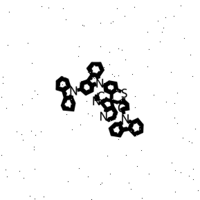 c1cnc2c(c1)C1(c3cc(-n4c5ccccc5c5ccccc54)ccc3Sc3ccc(-n4c5ccccc5c5cc(-n6c7ccccc7c7ccccc76)ccc54)cc31)c1cccnc1-2